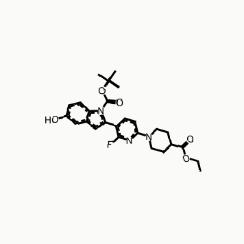 CCOC(=O)C1CCN(c2ccc(-c3cc4cc(O)ccc4n3C(=O)OC(C)(C)C)c(F)n2)CC1